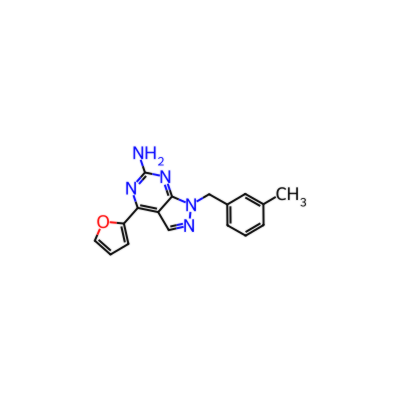 Cc1cccc(Cn2ncc3c(-c4ccco4)nc(N)nc32)c1